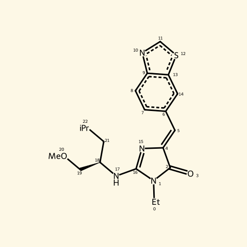 CCN1C(=O)/C(=C/c2ccc3ncsc3c2)N=C1N[C@@H](COC)CC(C)C